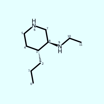 CCC[C@@H]1CCNC[C@H]1NCC